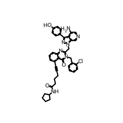 Nc1cncc2c1c(-c1ccc(O)cc1)nn2Cc1nc2cccc(C#CCCCC(=O)NC3CCCC3)c2c(=O)n1Cc1ccccc1Cl